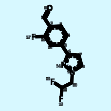 O=Cc1ccc(-c2ccn(CC(F)F)n2)cc1F